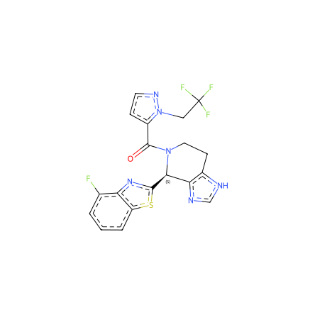 O=C(c1ccnn1CC(F)(F)F)N1CCc2[nH]cnc2[C@H]1c1nc2c(F)cccc2s1